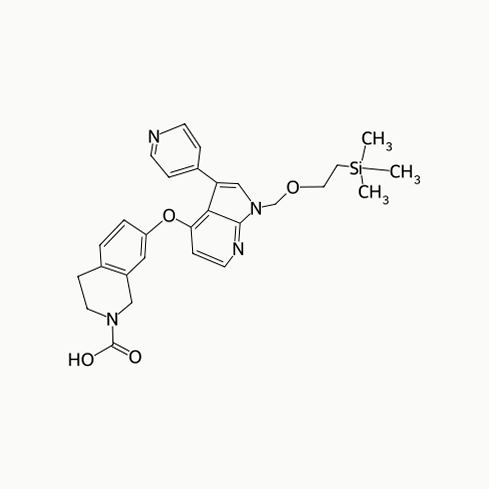 C[Si](C)(C)CCOCn1cc(-c2ccncc2)c2c(Oc3ccc4c(c3)CN(C(=O)O)CC4)ccnc21